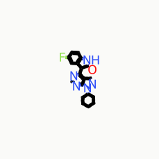 O=C1Nc2ccc(F)cc2C1c1ncnc2c1cnn2C1CCCCC1